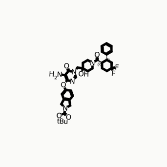 CC(C)(C)OC(=O)N1Cc2ccc(Oc3ncn(CC4(O)CCN(C(=O)[C@@H]5CCC(F)(F)C[C@H]5c5ccccc5)CC4)c(=O)c3N)cc2C1